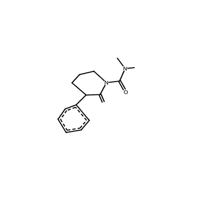 C=C1C(c2ccccc2)CCCN1C(=O)N(C)C